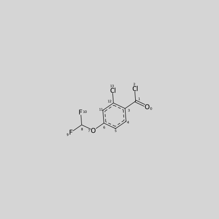 O=C(Cl)c1ccc(OC(F)F)cc1Cl